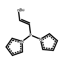 CCCCC=CP(n1cccc1)n1cccc1